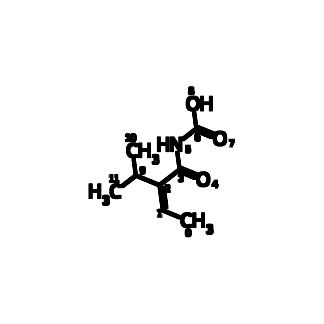 CC=C(C(=O)NC(=O)O)C(C)C